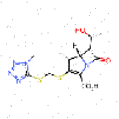 C[C@@H](O)[C@@H]1C(=O)N2C(C(=O)O)=C(SCSc3nnnn3C)[C@H](C)[C@H]12